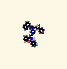 O=C(N[C@@H](CCN1CCN[C@@H](CN(CCCCNC2CCOCC2)[C@H]2CCCc3cccnc32)C1)c1ccccc1)C1CCC(F)(F)CC1